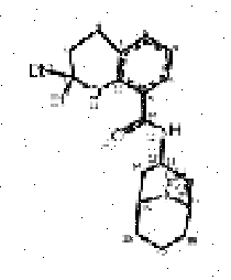 CCC1(CC)CCc2cccc(C(=O)NC3CC4CCCC(C3)N4C)c2O1